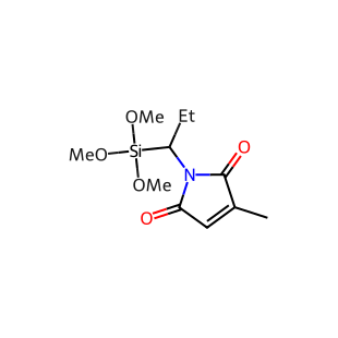 CCC(N1C(=O)C=C(C)C1=O)[Si](OC)(OC)OC